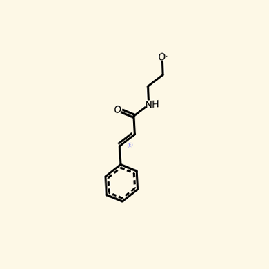 [O]CCNC(=O)/C=C/c1ccccc1